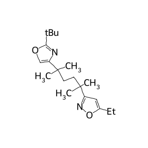 CCc1cc(C(C)(C)CCC(C)(C)c2coc(C(C)(C)C)n2)no1